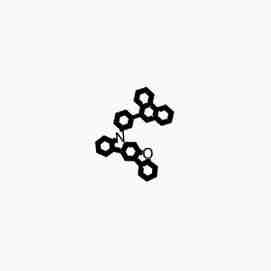 c1cc(-c2cc3ccccc3c3ccccc23)cc(-n2c3ccccc3c3cc4c(cc32)oc2ccccc24)c1